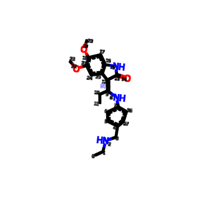 CCNCc1ccc(N/C(CC)=C2\C(=O)Nc3cc(OC)c(OC)cc32)cc1